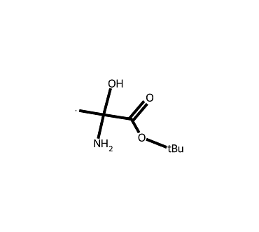 [CH2]C(N)(O)C(=O)OC(C)(C)C